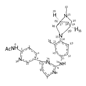 CC(=O)Nc1ccc(-c2ccnc(Nc3ccc(N4C[C@@H]5C[C@H]4CN5C)c(C)c3)n2)cn1